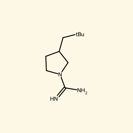 CC(C)(C)CC1CCN(C(=N)N)C1